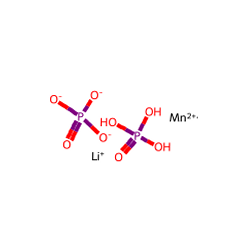 O=P(O)(O)O.O=P([O-])([O-])[O-].[Li+].[Mn+2]